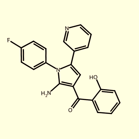 Nc1c(C(=O)c2ccccc2O)cc(-c2cccnc2)n1-c1ccc(F)cc1